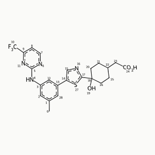 Cc1cc(Nc2nccc(C(F)(F)F)n2)cc(-c2cnc(C3(O)CCC(CC(=O)O)CC3)s2)c1